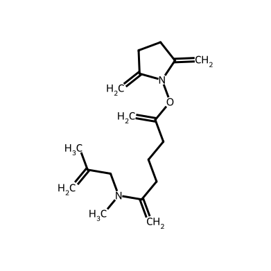 C=C(C)CN(C)C(=C)CCCC(=C)ON1C(=C)CCC1=C